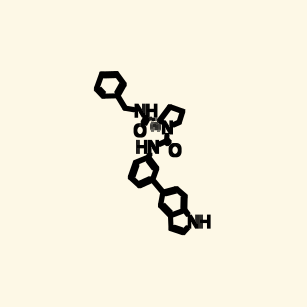 O=C(NCc1ccccc1)[C@@H]1CCCN1C(=O)Nc1cccc(-c2ccc3[nH]ccc3c2)c1